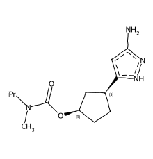 CC(C)N(C)C(=O)O[C@@H]1CC[C@H](c2cc(N)n[nH]2)C1